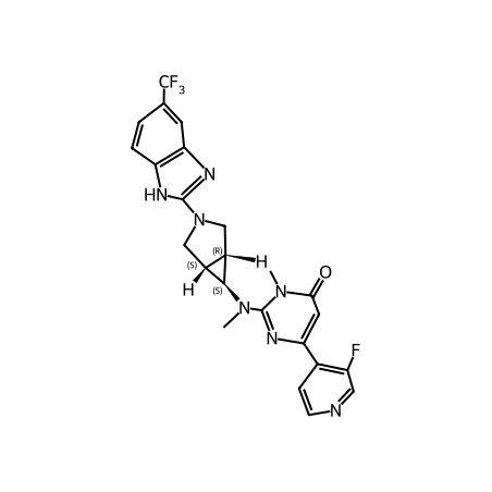 CN(c1nc(-c2ccncc2F)cc(=O)n1C)[C@H]1[C@@H]2CN(c3nc4cc(C(F)(F)F)ccc4[nH]3)C[C@@H]21